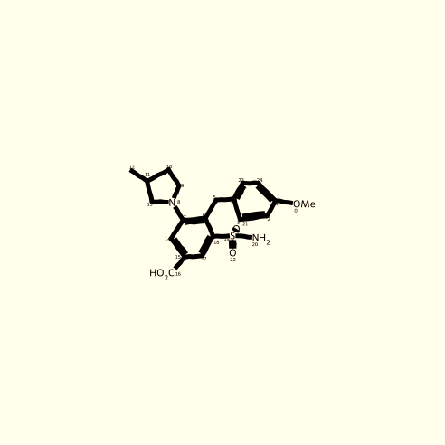 COc1ccc(Cc2c(N3CCC(C)C3)cc(C(=O)O)cc2S(N)(=O)=O)cc1